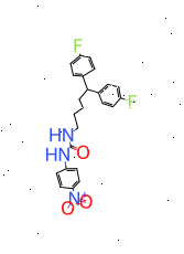 O=C(NCCCCC(c1ccc(F)cc1)c1ccc(F)cc1)Nc1ccc([N+](=O)[O-])cc1